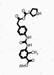 COC(=O)c1cccc(NC(=O)Nc2ccc(CC(=O)OC(=O)[C@H]3CCNC3)cc2)c1C